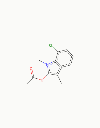 CC(=O)Oc1c(C)c2cccc(Cl)c2n1C